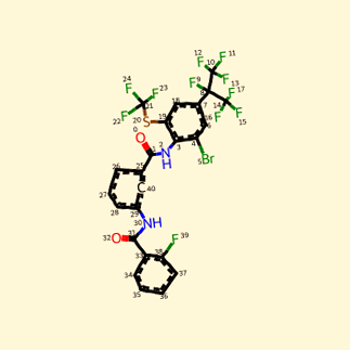 O=C(Nc1c(Br)cc(C(F)(C(F)(F)F)C(F)(F)F)cc1SC(F)(F)F)c1cccc(NC(=O)c2ccccc2F)c1